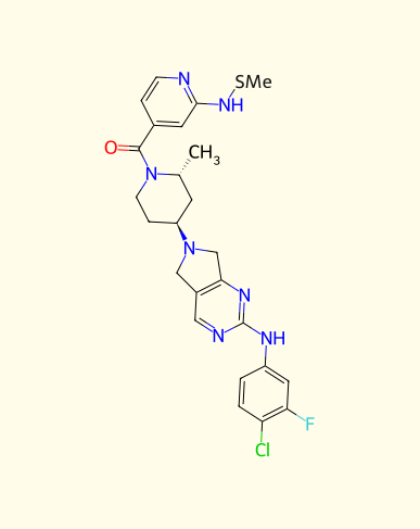 CSNc1cc(C(=O)N2CC[C@H](N3Cc4cnc(Nc5ccc(Cl)c(F)c5)nc4C3)C[C@H]2C)ccn1